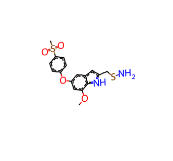 COc1cc(Oc2ccc(S(C)(=O)=O)cc2)cc2cc(CSN)[nH]c12